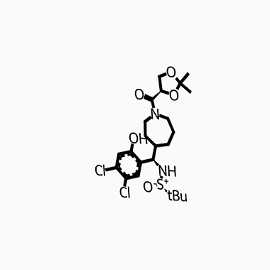 CC1(C)OC[C@H](C(=O)N2CCCC([C@@H](N[S@@+]([O-])C(C)(C)C)c3cc(Cl)c(Cl)cc3O)CC2)O1